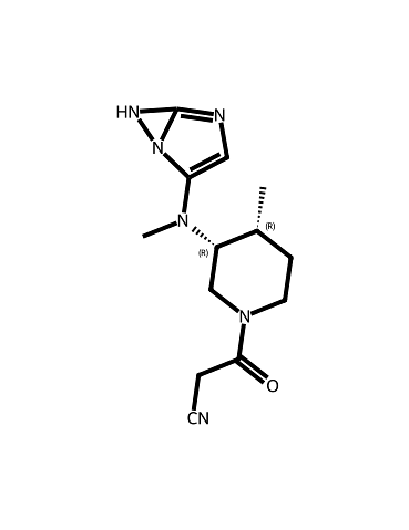 C[C@@H]1CCN(C(=O)CC#N)C[C@@H]1N(C)c1cnc2n1N2